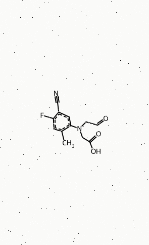 Cc1cc(F)c(C#N)cc1N(CC=O)CC(=O)O